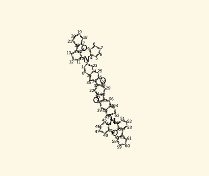 C1=CC(N(c2ccccc2)c2cccc3c2oc2ccccc23)=CC2Cc3oc4cc5c(cc4c3C=C12)oc1cc2cc(N(c3ccccc3)c3cccc4c3oc3ccccc34)ccc2cc15